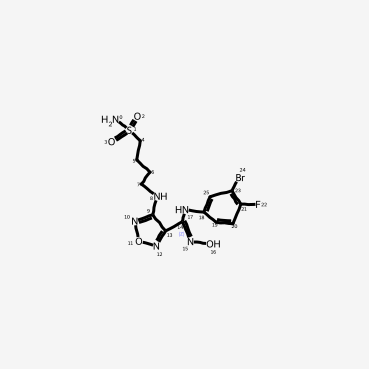 NS(=O)(=O)CCCCNc1nonc1/C(=N/O)Nc1ccc(F)c(Br)c1